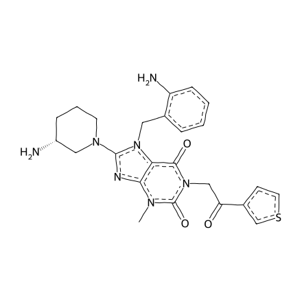 Cn1c(=O)n(CC(=O)c2ccsc2)c(=O)c2c1nc(N1CCC[C@@H](N)C1)n2Cc1ccccc1N